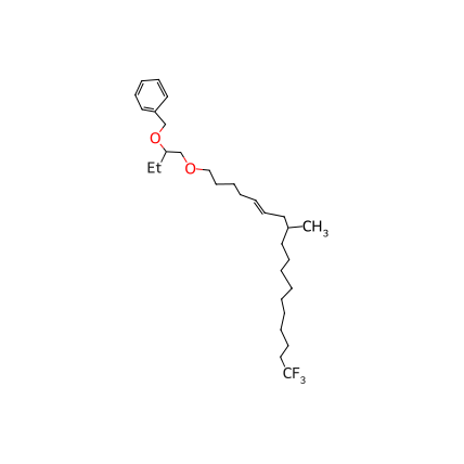 CCC(COCCCC/C=C/CC(C)CCCCCCCCCC(F)(F)F)OCc1ccccc1